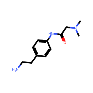 CN(C)CC(=O)Nc1ccc(CCN)cc1